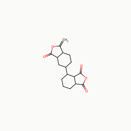 C=C1OC(=O)C2CC(C3CCCC4C(=O)OC(=O)C43)CCC12